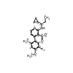 CC[C@@H](Nc1nccc(-c2cc(F)c(OC)cc2C)c1[N+](=O)[O-])C1CC1